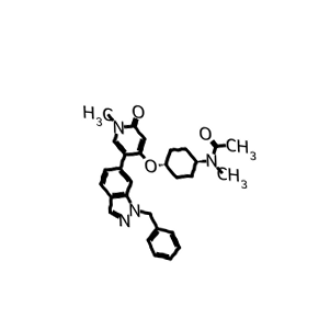 CC(=O)N(C)[C@H]1CC[C@H](Oc2cc(=O)n(C)cc2-c2ccc3cnn(Cc4ccccc4)c3c2)CC1